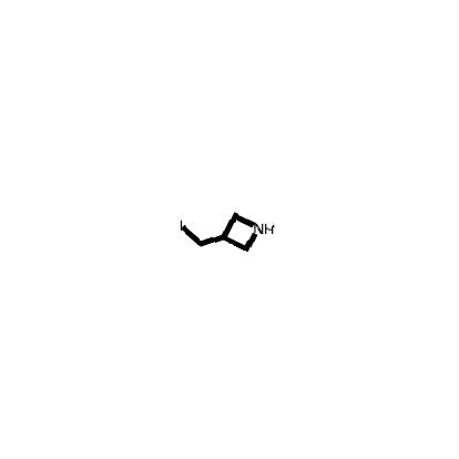 ICC1CNC1